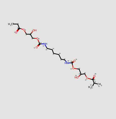 CCC(=O)OCC(O)COC(=O)NCCCCCCNC(=O)OCC(O)COC(=O)C(C)C